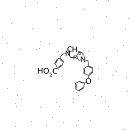 CN(Cc1ccc(C(=O)O)cc1)C[C@H]1CCN(Cc2ccc(Oc3ccccc3)cc2)C1